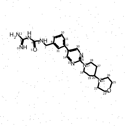 N=C(N)NC(=O)NCc1cccc(-c2cnc(N3CCC(N4CCOCC4)CC3)nc2)c1